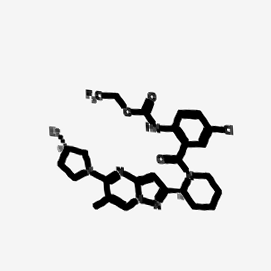 CC[C@H]1CCN(c2nc3cc([C@@H]4CCCCN4C(=O)c4cc(Cl)ccc4NC(=O)OCC(F)(F)F)nn3cc2C)C1